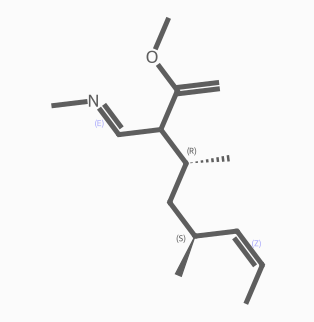 C=C(OC)C(/C=N/C)[C@H](C)C[C@H](C)/C=C\C